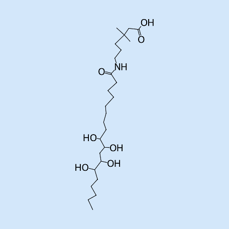 CCCCCC(O)C(O)CC(O)C(O)CCCCCCCC(=O)NCCCC(C)(C)CC(=O)O